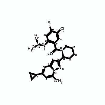 Cc1cc(C2CC2)nc2cc(C3CCCCN3C(=O)c3cc(Cl)c(F)cc3N[S+](C)[O-])nn12